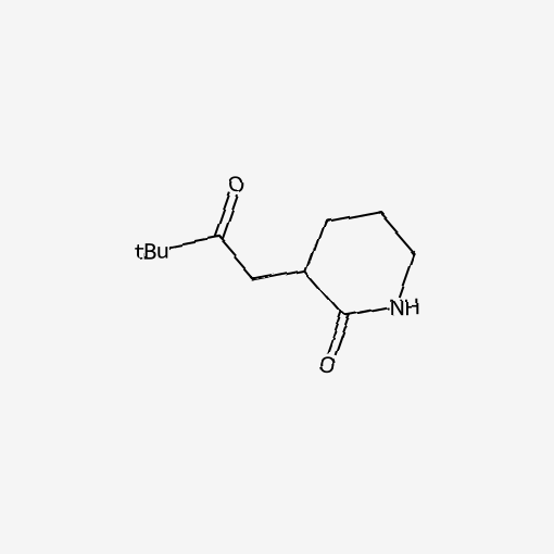 CC(C)(C)C(=O)CC1CCCNC1=O